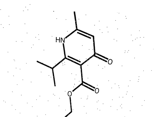 CCOC(=O)c1c(C(C)C)[nH]c(C)cc1=O